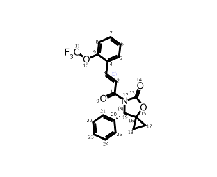 O=C(/C=C/c1ccccc1OC(F)(F)F)N1C(=O)OC2(CC2)[C@@H]1c1ccccc1